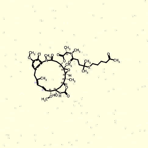 COc1cc2cc(c1Cl)N(C)C(=O)C[C@H](OC(=O)[C@H](C)N(C)C(=O)CCC(C)(C)SCCCCC(C)=O)[C@]1(C)O[C@H]1[C@H](C)[C@@H]1C[C@@](O)(NC(=O)O1)[C@H](OC)/C=C/C=C(\C)C2